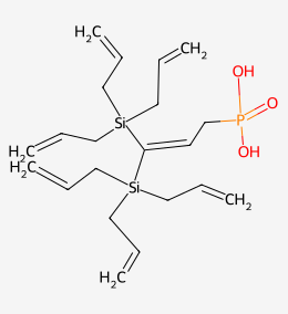 C=CC[Si](CC=C)(CC=C)C(=CCP(=O)(O)O)[Si](CC=C)(CC=C)CC=C